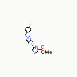 COC(=O)c1cncc(N2Cc3cn(Cc4ccc(F)cc4)nc3C2)n1